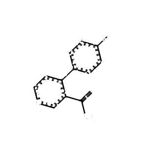 NC(=S)c1cnccc1-c1ccc(F)cc1